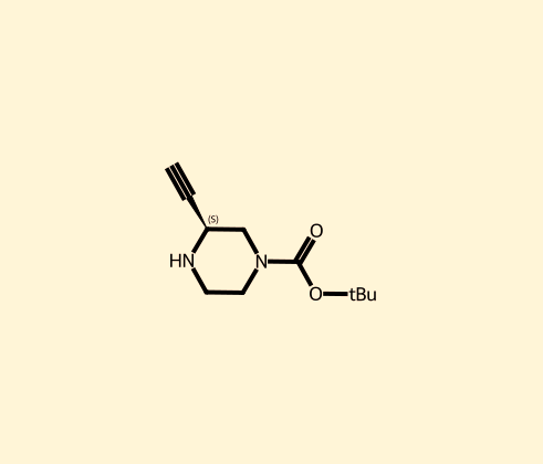 C#C[C@H]1CN(C(=O)OC(C)(C)C)CCN1